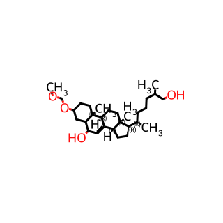 COCOC1CC[C@@]2(C)C(C1)C(O)C=C1[C@@H]3CC[C@H]([C@H](C)CCCC(C)CO)[C@@]3(C)CC[C@@H]12